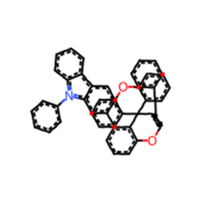 c1ccc(-c2cccc3c2C2(c4ccccc4Oc4ccccc42)c2c(cccc2-c2ccc4c5ccccc5n(-c5ccccc5)c4c2)O3)cc1